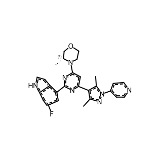 Cc1nn(-c2ccncc2)c(C)c1-c1cc(N2CCOC[C@H]2C)nc(-c2cc(F)cc3[nH]ccc23)n1